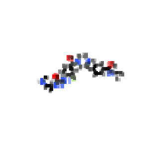 CN(C)CC(C)(C)NC(=O)Nc1ccc(C(=O)N2CCN(Cc3cccc(C(=O)NC(C)(C)C)c3)CC2)cc1F